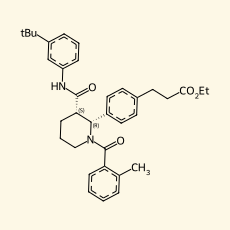 CCOC(=O)CCc1ccc([C@H]2[C@@H](C(=O)Nc3cccc(C(C)(C)C)c3)CCCN2C(=O)c2ccccc2C)cc1